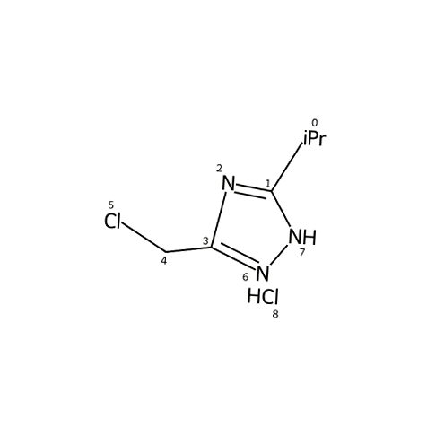 CC(C)c1nc(CCl)n[nH]1.Cl